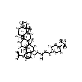 C=C(C)[C@@H]1CC[C@]2(CCNCCN3CCC(S(C)(=O)=O)CC3)CC[C@]3(C)[C@H](CC[C@@H]4[C@@]5(C)CC[C@H](O)C(C)(C)[C@@H]5CC[C@]43C)[C@@H]12